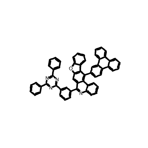 c1ccc(-c2nc(-c3ccccc3)nc(-c3cccc(-c4nc5ccccc5c5c(-c6ccc7c8ccccc8c8ccccc8c7c6)c6c(cc45)oc4ccccc46)c3)n2)cc1